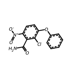 NC(=O)c1c([N+](=O)[O-])ccc(Oc2ccccc2)c1Cl